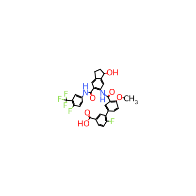 COc1ccc(-c2cc(C(=O)O)ccc2F)cc1C(=O)Nc1cc2c(cc1C(=O)Nc1ccc(F)c(C(F)(F)F)c1)CCC2O